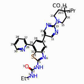 CCNC(=O)Nc1nc2cc(-c3cnc(N4CCC(C(=O)O)(C(C)C)CC4)nc3)cc(-c3ccccn3)c2s1